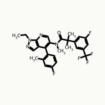 CCn1ncc2c(-c3ccc(F)cc3C)c(N(C)C(=O)C(C)(C)c3cc(F)cc(C(F)(F)F)c3)cnc21